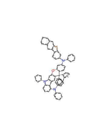 c1ccc(N(c2ccc3c(c2)Oc2cc4c(cc2C32c3ccccc3-c3ccccc32)c2c(N(c3ccccc3)c3ccccc3)cccc2n4-c2ccccc2)c2ccc3c(c2)sc2cc4ccccc4cc23)cc1